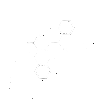 COC(=O)C(Cc1ccccc1C(F)(F)F)NSC(N)c1ccccc1N